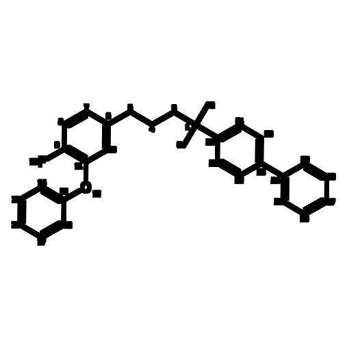 CC(C)(CCCc1ccc(F)c(Oc2ccccc2)c1)c1ccc(-c2ccccc2)cc1